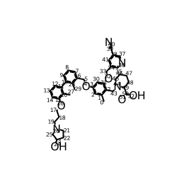 Cc1cc(OCc2cccc(-c3cccc(OCCCN4CCC(O)C4)c3C)c2C)cc(OCc2cncc(C#N)c2)c1CN1CCCCC1C(=O)O